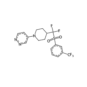 O=S(=O)(c1cccc(C(F)(F)F)c1)C(F)(F)C1CCN(c2ccnnc2)CC1